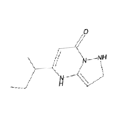 CCC(C)C1=CC(=O)N2NCC=C2N1